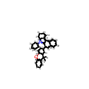 CC1(C)c2ccccc2Oc2ccc(-c3cc4ccccc4c4c5ccccc5n(-c5ccccc5)c34)cc21